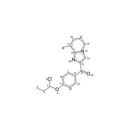 CCC(Cl)Oc1ccc(C(=O)c2cn3cccc(C)c3n2)cc1